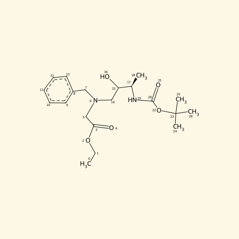 CCOC(=O)CN(Cc1ccccc1)CC(O)[C@@H](C)NC(=O)OC(C)(C)C